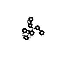 c1ccc(-c2cccc(N(c3ccc4sc5ccccc5c4c3)c3ccc4c5c3c3cccc6c3n5-c3c(cccc3O4)O6)c2)cc1